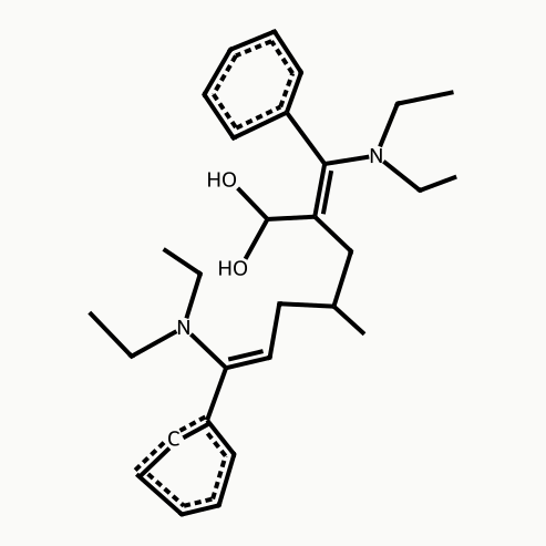 CCN(CC)C(=CCC(C)CC(=C(c1ccccc1)N(CC)CC)C(O)O)c1ccccc1